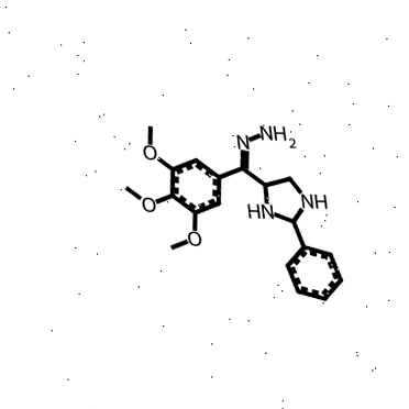 COc1cc(/C(=N/N)C2CNC(c3ccccc3)N2)cc(OC)c1OC